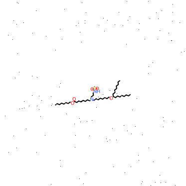 CCCCCCCCOC(=O)CCCCCCCN(CCCCCCCCOC(CCCCCCCC)CCCCCCCC)CCCNS(C)(=O)=O